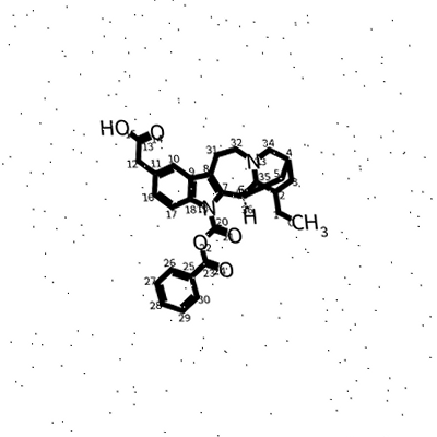 CCC1CC2C[C@H]3c4c(c5cc(CC(=O)O)ccc5n4C(=O)OC(=O)c4ccccc4)CCN(C2)C13